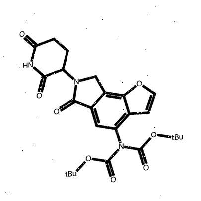 CC(C)(C)OC(=O)N(C(=O)OC(C)(C)C)c1cc2c(c3occc13)CN(C1CCC(=O)NC1=O)C2=O